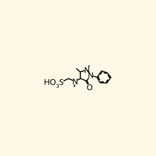 CC1C(N(C)CS(=O)(=O)O)C(=O)N(c2ccccc2)N1C